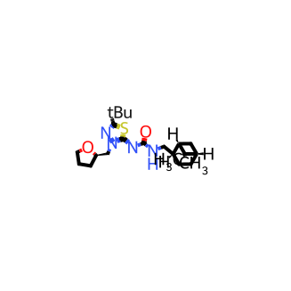 CC(C)(C)c1nn(C[C@H]2CCCO2)c(=NC(=O)NC[C@@H]2CC[C@H]3C[C@H]2C3(C)C)s1